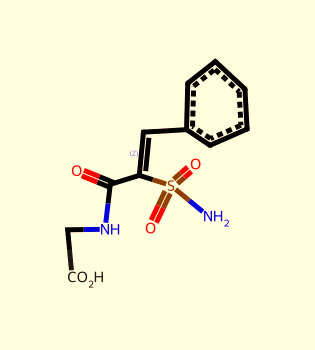 NS(=O)(=O)/C(=C\c1ccccc1)C(=O)NCC(=O)O